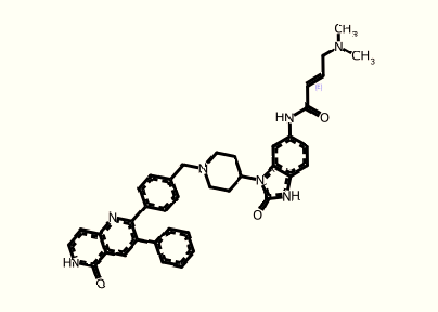 CN(C)C/C=C/C(=O)Nc1ccc2[nH]c(=O)n(C3CCN(Cc4ccc(-c5nc6cc[nH]c(=O)c6cc5-c5ccccc5)cc4)CC3)c2c1